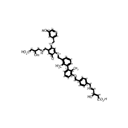 Cc1c(COc2cc(OCc3cncc(C#N)c3)c(CNCC(O)CC(=O)O)cc2Cl)cccc1-c1cccc(OCc2ccc(CNCC(O)CC(=O)O)cc2)c1C